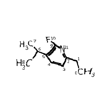 CCc1ccc(C(C)C)c(F)n1